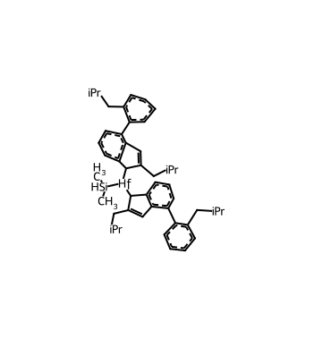 CC(C)CC1=Cc2c(-c3ccccc3CC(C)C)cccc2[CH]1[Hf]([CH]1C(CC(C)C)=Cc2c(-c3ccccc3CC(C)C)cccc21)[SiH](C)C